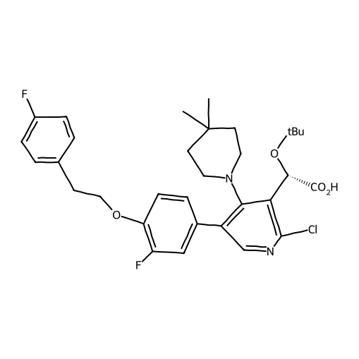 CC1(C)CCN(c2c(-c3ccc(OCCc4ccc(F)cc4)c(F)c3)cnc(Cl)c2[C@H](OC(C)(C)C)C(=O)O)CC1